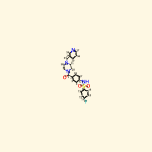 O=C(c1ccc(NS(=O)(=O)c2ccc(F)cc2)cc1)N1CCN(Cc2cccnc2)CC1